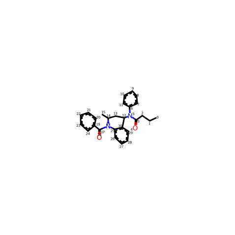 CCCC(=O)N(c1ccccc1)C1CC(C)N(C(=O)c2ccccc2)c2ccccc21